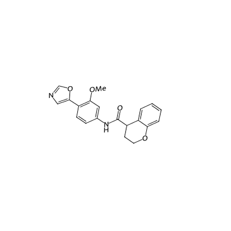 COc1cc(NC(=O)C2CCOc3ccccc32)ccc1-c1cnco1